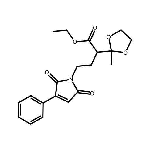 CCOC(=O)C(CCN1C(=O)C=C(c2ccccc2)C1=O)C1(C)OCCO1